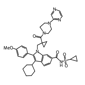 COc1ccc(-c2c(C3CCCCC3)c3ccc(C(=O)NS(=O)(=O)C4CC4)cc3n2CC2(C(=O)N3CCN(c4cnccn4)CC3)CC2)cc1